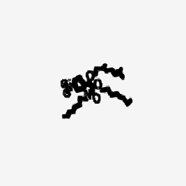 CCCCCCCCOc1c(OCC=C(C)CCC=C(C)C)c2ccc([N+](=O)[O-])cc2n(CCCCCCCC)c1=O